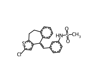 CS(=O)(=O)Nc1cccc(/C=C2\c3ccccc3CCc3sc(Cl)cc32)c1